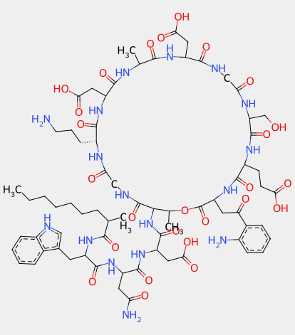 CCCCCCCC(C)C(=O)NC(Cc1c[nH]c2ccccc12)C(=O)NC(CC(N)=O)C(=O)NC(CC(=O)O)C(=O)NC1C(=O)NCC(=O)N[C@H](CCCN)C(=O)NC(CC(=O)O)C(=O)NC(C)C(=O)NC(CC(=O)O)C(=O)NCC(=O)NC(CO)C(=O)NC(CCC(=O)O)C(=O)NC(CC(=O)c2ccccc2N)C(=O)OC1C